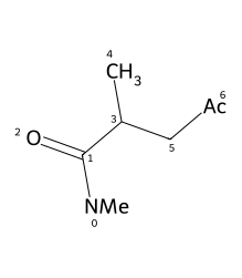 CNC(=O)C(C)CC(C)=O